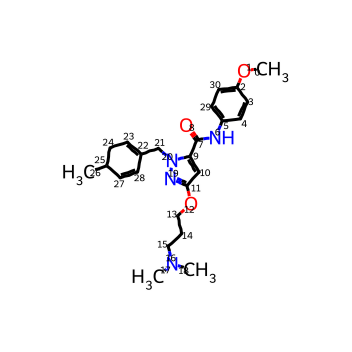 COc1ccc(NC(=O)c2cc(OCCCN(C)C)nn2CC2=CCC(C)C=C2)cc1